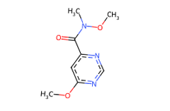 COc1cc(C(=O)N(C)OC)ncn1